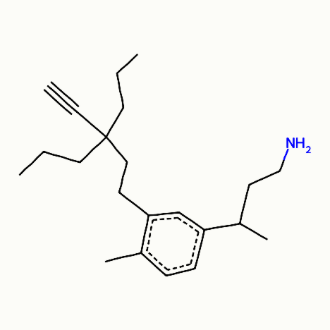 C#CC(CCC)(CCC)CCc1cc(C(C)CCN)ccc1C